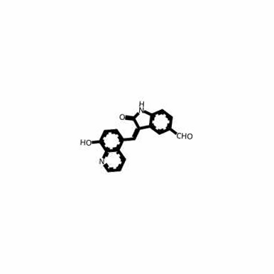 O=Cc1ccc2c(c1)C(=Cc1ccc(O)c3ncccc13)C(=O)N2